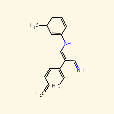 C=C\C=C/C(=C\C)C(/C=N)=C/NC1=CC(C)CC=C1